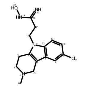 CN1CCc2c(c3cc(Cl)ccc3n2CCC(=N)NO)C1